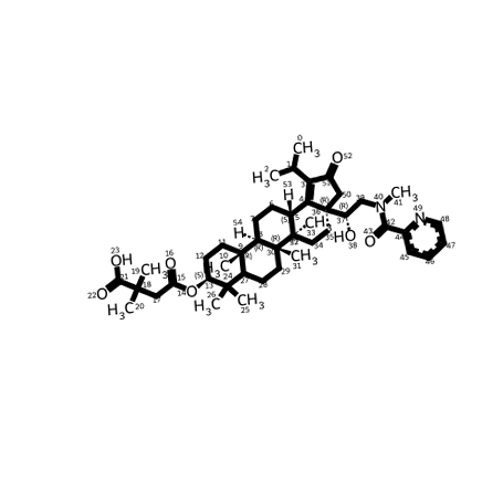 CC(C)C1=C2[C@H]3CC[C@@H]4[C@@]5(C)CC[C@H](OC(=O)CC(C)(C)C(=O)O)C(C)(C)C5CC[C@@]4(C)[C@]3(C)CC[C@@]2([C@@H](O)CN(C)C(=O)c2ccccn2)CC1=O